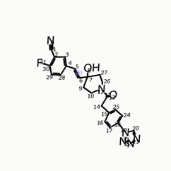 N#Cc1cc(/C=C/C2(O)CCN(C(=O)Cc3ccc(-n4cnnn4)cc3)CC2)ccc1F